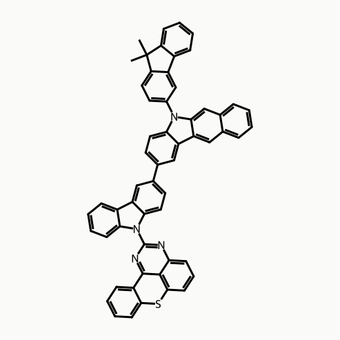 CC1(C)c2ccccc2-c2cc(-n3c4ccc(-c5ccc6c(c5)c5ccccc5n6-c5nc6c7c(cccc7n5)Sc5ccccc5-6)cc4c4cc5ccccc5cc43)ccc21